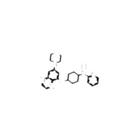 c1ccc(NC2CCC(Oc3cc(N4CCOCC4)cc4nccnc34)CC2)nc1